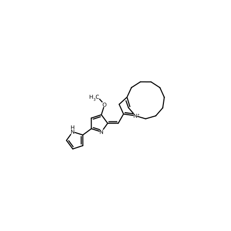 COC1=CC(c2ccc[nH]2)=NC1=CC1=[N+]2C=C(CCCCCCCC2)C1